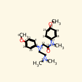 COc1ccc(N(CCN(C)C)CC(=O)N(C)c2ccc(OC)cc2)cc1